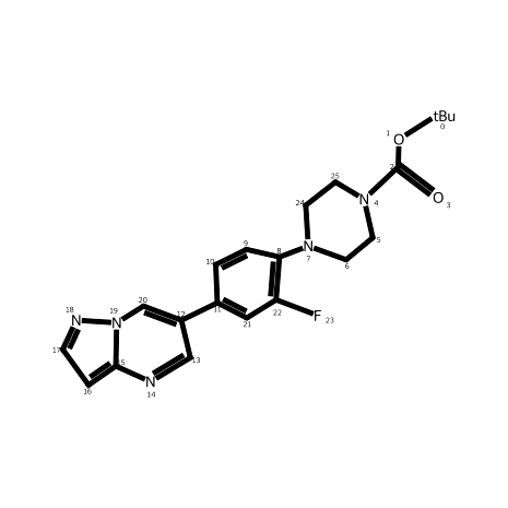 CC(C)(C)OC(=O)N1CCN(c2ccc(-c3cnc4ccnn4c3)cc2F)CC1